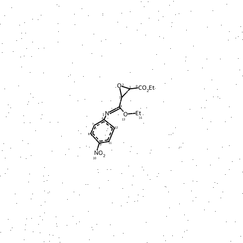 CCOC(=O)C1OC1C(=Nc1ccc([N+](=O)[O-])cc1)OCC